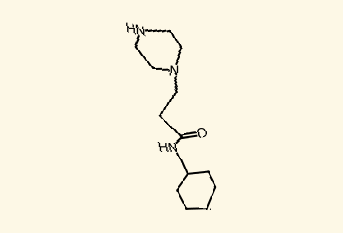 O=C(CCN1CCNCC1)NC1CC[CH]CC1